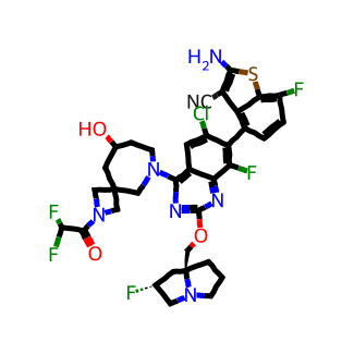 N#Cc1c(N)sc2c(F)ccc(-c3c(Cl)cc4c(N5CCC(O)CC6(CN(C(=O)C(F)F)C6)C5)nc(OC[C@@]56CCCN5C[C@H](F)C6)nc4c3F)c12